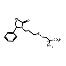 N[C@@H](CSSCCCN1C(=O)NCC1c1ccccc1)C(=O)O